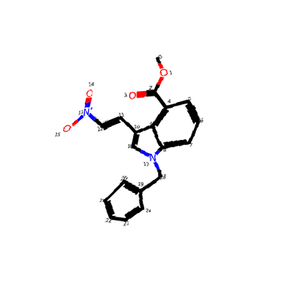 COC(=O)c1cccc2c1c(C=C[N+](=O)[O-])cn2Cc1ccccc1